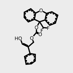 O=C(OCC(=CO)c1ccccc1)OC1(C(F)F)c2ccccc2Oc2ccccc21